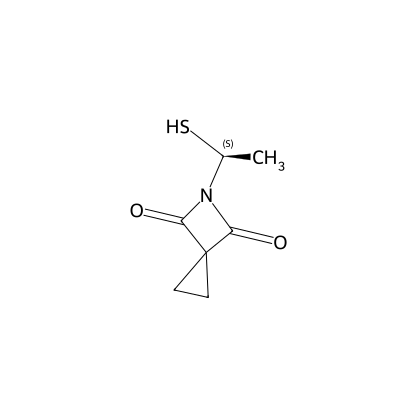 C[C@H](S)N1C(=O)C2(CC2)C1=O